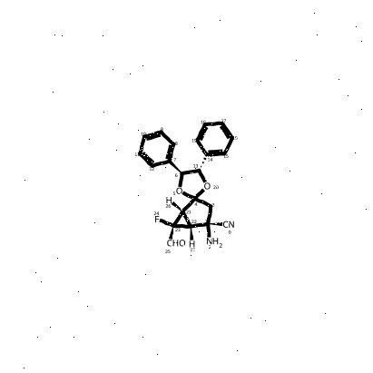 N#C[C@]1(N)CC2(O[C@@H](c3ccccc3)[C@H](c3ccccc3)O2)[C@@H]2[C@H]1[C@@]2(F)C=O